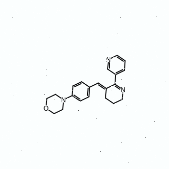 C(=C1/CCCN=C1c1cccnc1)/c1ccc(N2CCOCC2)cc1